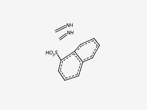 C=N.C=N.O=S(=O)(O)c1cccc2ccccc12